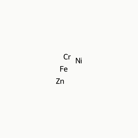 [Cr].[Fe].[Ni].[Zn]